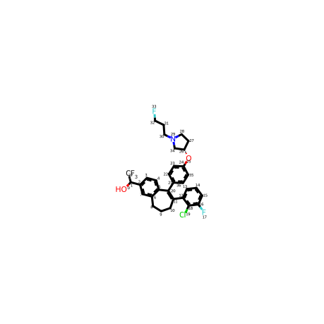 OC(c1ccc2c(c1)CCCC(c1cccc(F)c1Cl)=C2c1ccc(O[C@H]2CCN(CCCF)C2)cc1)C(F)(F)F